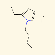 CCCCn1cccc1CC.[CH2]C